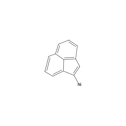 [Ni][C]1=Cc2cccc3cccc1c23